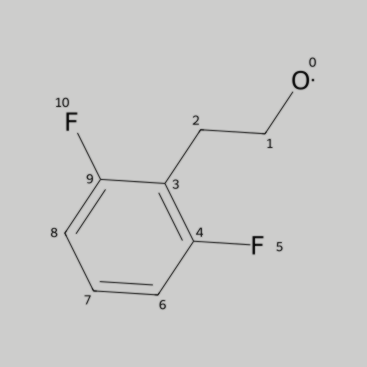 [O]CCc1c(F)cccc1F